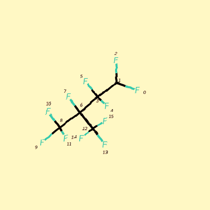 FC(F)C(F)(F)C(F)(C(F)(F)F)C(F)(F)F